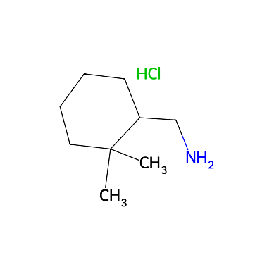 CC1(C)CCCCC1CN.Cl